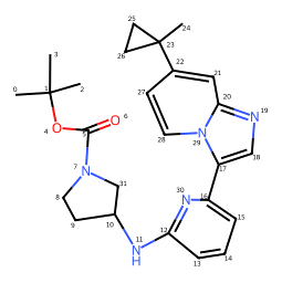 CC(C)(C)OC(=O)N1CCC(Nc2cccc(-c3cnc4cc(C5(C)CC5)ccn34)n2)C1